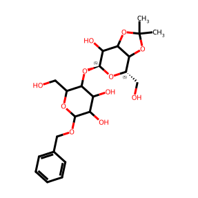 CC1(C)OC2C(O)[C@H](OC3C(CO)OC(OCc4ccccc4)C(O)C3O)O[C@@H](CO)C2O1